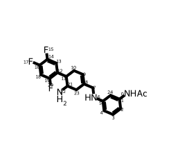 CC(=O)Nc1cccc(NCC2=CCC(c3cc(F)c(F)cc3F)C(N)C2)c1